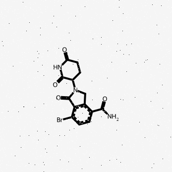 NC(=O)c1ccc(Br)c2c1CN(C1CCC(=O)NC1=O)C2=O